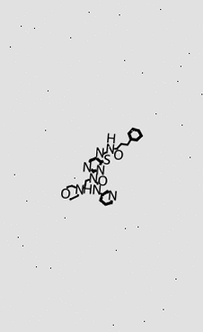 O=C(CCc1ccccc1)Nc1nc2cnc(N(CCN3CCOCC3)C(=O)Nc3cccnc3)nc2s1